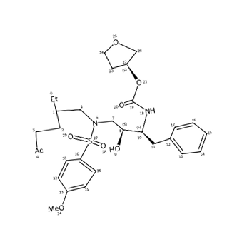 CCC(CCC(C)=O)CN(C[C@H](O)[C@H](Cc1ccccc1)NC(=O)O[C@H]1CCOC1)S(=O)(=O)c1ccc(OC)cc1